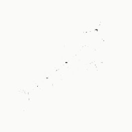 [2H]OC(=O)C([2H])([2H])C([2H])([2H])C([2H])([2H])C([2H])([2H])[C@@]1([2H])[C@H]2NC(=O)N([2H])[C@@]2([2H])C([2H])([2H])S1([2H])([2H])([2H])[2H]